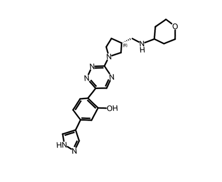 Oc1cc(-c2cn[nH]c2)ccc1-c1cnc(N2CC[C@H](CNC3CCOCC3)C2)nn1